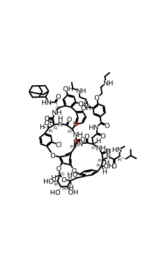 CCNCCOc1ccc(C(=O)NC(=O)C[C@@H]2NC(=O)[C@H](NC(=O)[C@@H](CC(C)C)NC)[C@H](O)c3ccc4c(c3)C(O)[C@H]3O[C@@H](Oc5c6cc(cc5O4)[C@@H](NC2=O)C(=O)N[C@H]2C(=O)N[C@H](C(=O)N[C@H](C(=O)NC4C5CC7CC(C5)CC4C7)c4cc(O)cc(O)c4-c4cc2ccc4O)[C@H](O)c2ccc(c(Cl)c2)O6)[C@H](O)[C@@H](O)[C@@H]3O)cc1OCCNCC